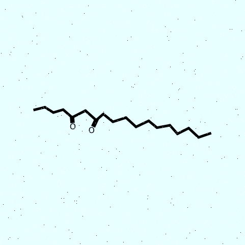 CCCCCCCCCCCC(=O)CC(=O)CCCC